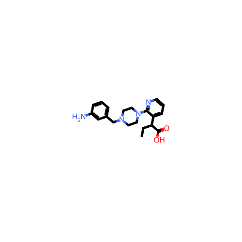 C[CH]C(C(=O)O)c1cccnc1N1CCN(Cc2cccc(N)c2)CC1